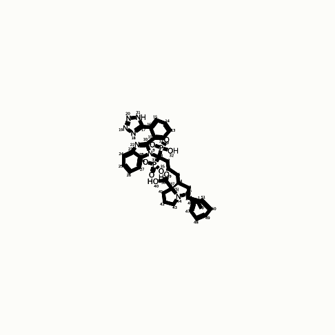 CCCCC(CCCC(n1c(-c2ccccc2-c2nnn[nH]2)nc2ccccc21)(P(=O)(O)O)P(=O)(O)O)[C@]1(C(=O)O)CCCN1Oc1ccccc1